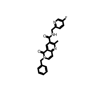 Cc1nc2ccn(Cc3ccccc3)c(=O)c2cc1C(=O)NCc1ccc(F)cn1